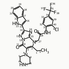 CCc1c(N2CCNCC2)c(=O)n2nc(-c3cc4ccccc4[nH]3)nc2n1CC(=O)Nc1ccc(C(F)(F)F)cc1Cl